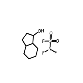 O=S(=O)(F)N(F)F.OC1CCC2CCCCC12